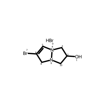 Br.OC1CN2C=C(Br)CN2C1